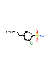 CC(=O)NCCc1ccc(S(N)(=O)=O)c(Cl)c1